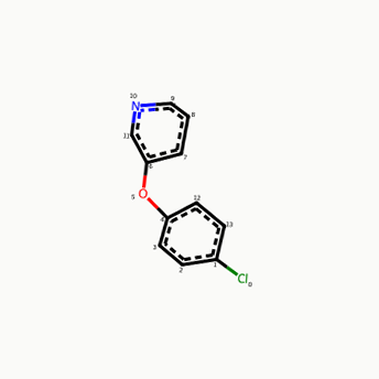 Clc1ccc(Oc2cc[c]nc2)cc1